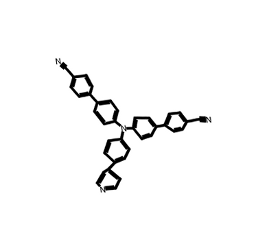 N#Cc1ccc(-c2ccc(N(c3ccc(-c4ccncc4)cc3)c3ccc(-c4ccc(C#N)cc4)cc3)cc2)cc1